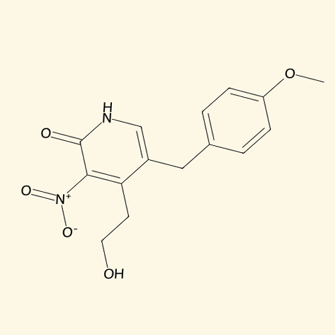 COc1ccc(Cc2c[nH]c(=O)c([N+](=O)[O-])c2CCO)cc1